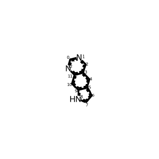 c1ncc2cc3cc[nH]c3cc2n1